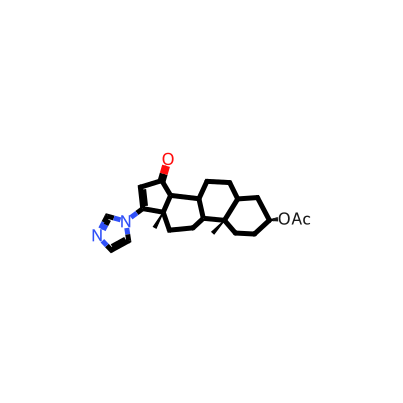 CC(=O)O[C@H]1CC[C@@]2(C)C(CCC3C2CC[C@]2(C)C(n4ccnc4)=CC(=O)C32)C1